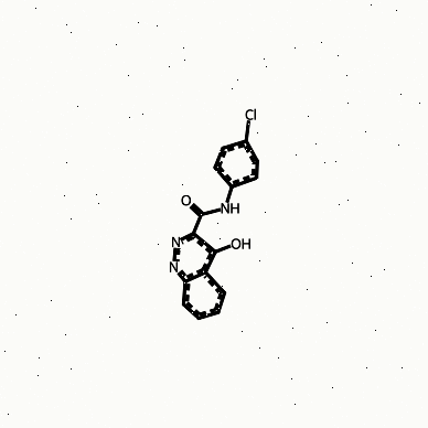 O=C(Nc1ccc(Cl)cc1)c1nnc2ccccc2c1O